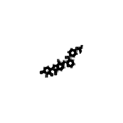 O=C1CCC(N2Cc3c(ccc(C[C@H]4OCCC[C@@H]4N[C@H]4CC[C@H](OC(F)F)CC4)c3F)C2=O)C(=O)N1